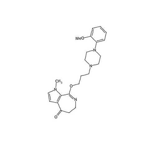 COc1ccccc1N1CCN(CCCOC2=NCCC(=O)c3ccn(C)c32)CC1